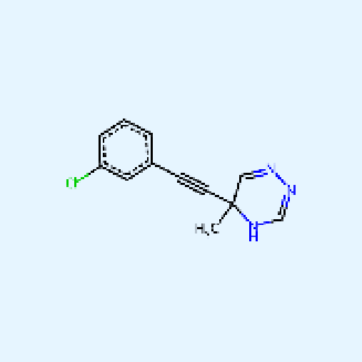 CC1(C#Cc2cccc(Cl)c2)C=NN=CN1